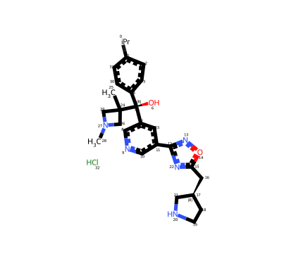 CC(C)c1ccc([C@](O)(c2cncc(-c3noc(C[C@H]4CCNC4)n3)c2)C2(C)CN(C)C2)cc1.Cl